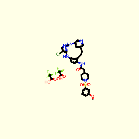 COc1cccc(S(=O)(=O)N2CCC(CC(=O)Nc3ccc4cc3CCc3cncc(c3)Nc3ncc(Cl)c(n3)N4)CC2)c1.O=C(O)C(F)(F)F.O=C(O)C(F)(F)F